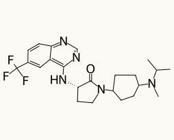 CC(C)N(C)C1CCC(N2CC[C@H](Nc3ncnc4ccc(C(F)(F)F)cc34)C2=O)CC1